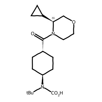 CC(C)(C)N(C(=O)O)[C@H]1CC[C@H](C(=O)N2CCOC[C@@H]2C2CC2)CC1